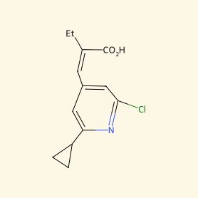 CCC(=Cc1cc(Cl)nc(C2CC2)c1)C(=O)O